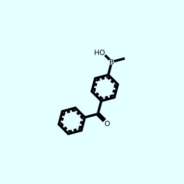 CB(O)c1ccc(C(=O)c2ccccc2)cc1